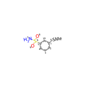 CSc1cccc(S(N)(=O)=O)c1